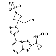 N#CCC1(n2cc(-c3cccc4nc(C5(NC=O)CC5)nn34)cn2)CN(S(=O)(=O)C(F)(F)F)C1